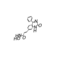 O=C(/C=C/c1ccc2c(c1)NC(=O)CN=C2c1ccccc1)NO